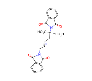 O=C1c2ccccc2C(=O)N1C/C=C/CC(C(=O)O)(C(=O)O)N1C(=O)c2ccccc2C1=O